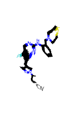 N#CCCn1cc(-c2nc(Nc3ccccc3CN3CCSCC3)ncc2F)cn1